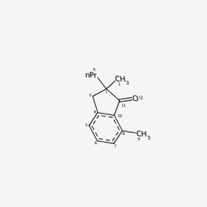 CCCC1(C)Cc2cccc(C)c2C1=O